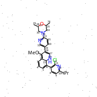 COC1=C2C=CC=C(c3ccc(C(C)C)nc3Cl)C2NC=C1c1ccc(N2CC(C)OC(C)C2)nc1